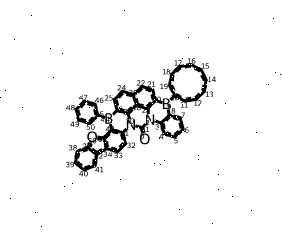 O=C1N2c3ccccc3B(c3ccccccccc3)c3ccc4ccc5c(c4c32)N1c1ccc2c(oc3ccccc32)c1B5c1ccccc1